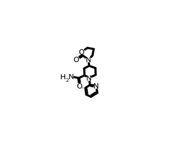 NC(=O)C1CC(N2CCCOC2=O)CCN1c1[c]cccn1